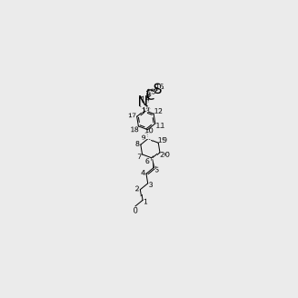 CCCCC=C[C@H]1CC[C@H](c2ccc(N=C=S)cc2)CC1